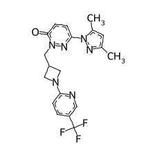 Cc1cc(C)n(-c2ccc(=O)n(CC3CN(c4ccc(C(F)(F)F)cn4)C3)n2)n1